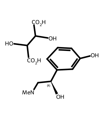 CNC[C@H](O)c1cccc(O)c1.O=C(O)C(O)C(O)C(=O)O